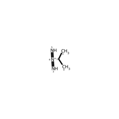 CCC.N=[N+]=N